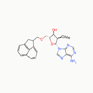 CO[C@@H]1[C@H](O)[C@@H](COCC2Cc3cccc4cccc2c34)O[C@H]1n1cnc2c(N)ncnc21